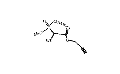 C#CCOC(=O)C(CC)P(=O)(OC)OC